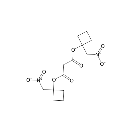 O=C(CC(=O)OC1(C[N+](=O)[O-])CCC1)OC1(C[N+](=O)[O-])CCC1